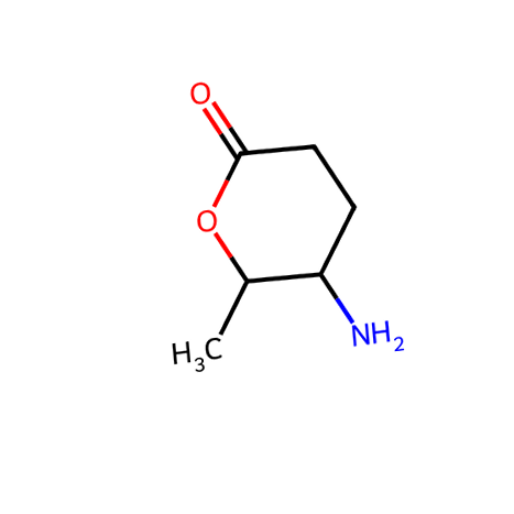 CC1OC(=O)CCC1N